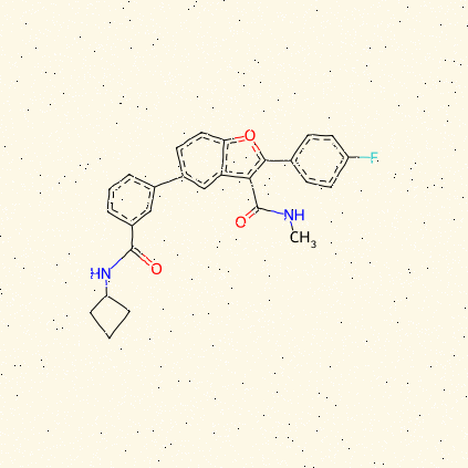 CNC(=O)c1c(-c2ccc(F)cc2)oc2ccc(-c3cccc(C(=O)NC4CCC4)c3)cc12